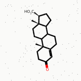 C[C@]12CCC(=O)C=C1CCC1C2CC[C@@]2(C)C1CC[C@@H]2C(=O)O